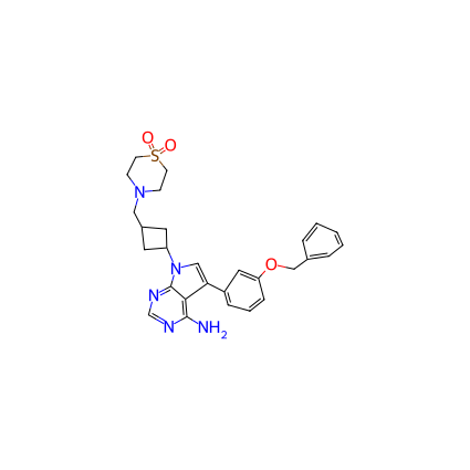 Nc1ncnc2c1c(-c1cccc(OCc3ccccc3)c1)cn2C1CC(CN2CCS(=O)(=O)CC2)C1